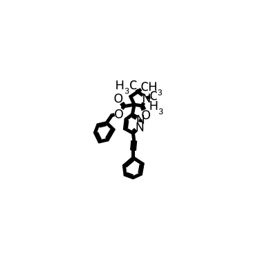 CN1C(=O)C(C(=O)OCc2ccccc2)(c2ccc(C#Cc3ccccc3)nn2)CC1(C)C